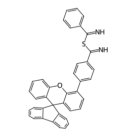 N=C(SC(=N)c1ccc(-c2cccc3c2Oc2ccccc2C32c3ccccc3-c3ccccc32)cc1)c1ccccc1